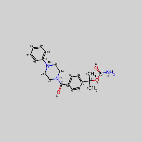 CC(C)(OC(N)=O)c1ccc(C(=O)N2CCN(c3ccccc3)CC2)cc1